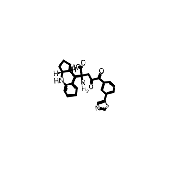 NC(CC(=O)C(=O)c1cccc(-c2cncs2)c1)(C(=O)O)C1c2ccccc2N[C@@H]2CCC[C@H]12